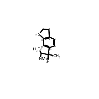 CNC(C)C(C)(F)c1ccc2c(c1)SCC2